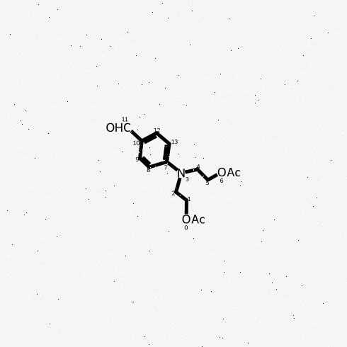 CC(=O)OCCN(CCOC(C)=O)c1ccc(C=O)cc1